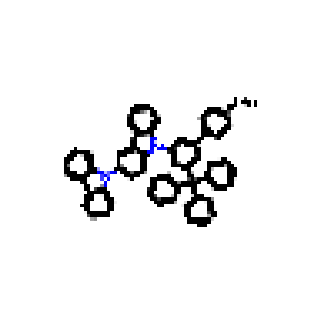 CC(C)(C)c1ccc(-c2cc(-n3c4ccccc4c4cc(-n5c6ccccc6c6ccccc65)ccc43)cc(C(c3ccccc3)(c3ccccc3)c3ccccc3)c2)cc1